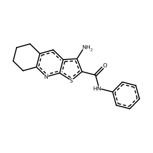 Nc1c(C(=O)Nc2ccccc2)sc2nc3c(cc12)CCCC3